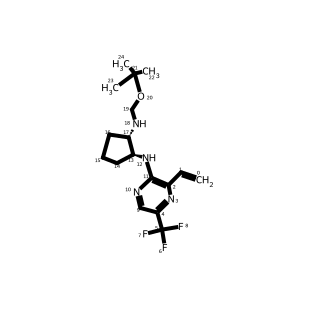 C=Cc1nc(C(F)(F)F)cnc1N[C@H]1CCC[C@@H]1NCOC(C)(C)C